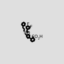 O=C(O)c1ccccc1-c1ccc(CN(CCCc2ccccc2)C(=O)c2ccc(F)c(F)c2)cc1